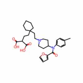 Cc1ccc(N(C(=O)c2ccco2)C2CCN(CCC3(CCC(C(=O)O)C(=O)O)CCCCC3)CC2)cc1